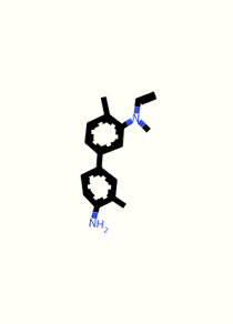 C=CN(C)c1cc(-c2ccc(N)c(C)c2)ccc1C